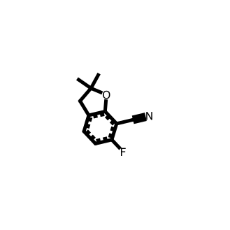 CC1(C)Cc2ccc(F)c(C#N)c2O1